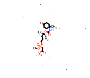 CCOP(=O)(CC(=O)OC(C)(C)C)OCCCC(C)(C)OC(=O)NC1(C)CCC(=O)CC1